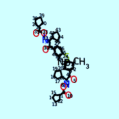 Cc1cc(C(=O)/C(=N/OC(=O)C2CCCC2)C2CCCC2)ccc1Sc1ccc(C(=O)/C(=N/OC(=O)C2CCCC2)C2CCCC2)cc1[N+](=O)[O-]